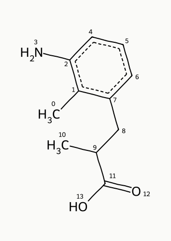 Cc1c(N)cccc1CC(C)C(=O)O